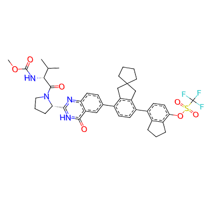 COC(=O)N[C@@H](C(=O)N1CCC[C@H]1c1nc2ccc(-c3ccc(-c4ccc(OS(=O)(=O)C(F)(F)F)c5c4CCC5)c4c3CC3(CCCC3)C4)cc2c(=O)[nH]1)C(C)C